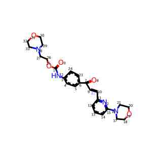 O=C(Nc1ccc(C(=O)/C=C/c2cccc(N3CCOCC3)n2)cc1)OCCN1CCOCC1